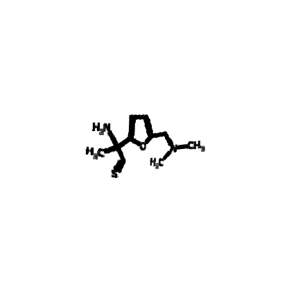 CN(C)Cc1ccc(C(C)(N)C=S)o1